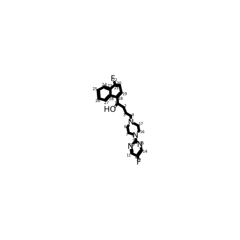 OC(CCCN1CCN(c2ncc(F)cn2)CC1)c1ccc(F)c2ccccc12